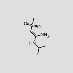 CC(C)NC(N)=CS(C)(=O)=O